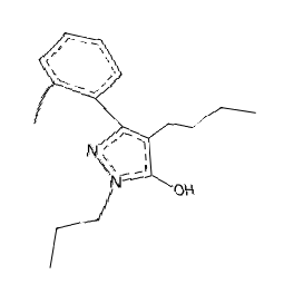 CCCCc1c(-c2ccccc2C)nn(CCC)c1O